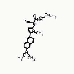 CCN(CC)c1ccc2cc(-c3ccc(/C=C(\C#N)C(=O)NCCOC)n3C)ccc2c1